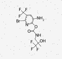 CC(O)(CNC(=O)Oc1nc(Br)c(C(F)(F)F)cc1N)C(F)(F)F